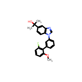 COc1cccc(F)c1-c1cccc(-n2cnc3cc(C(C)(C)O)ccc32)c1